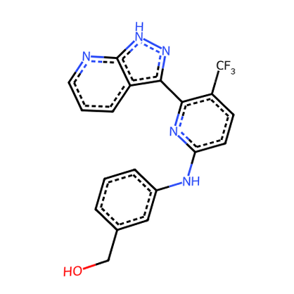 OCc1cccc(Nc2ccc(C(F)(F)F)c(-c3n[nH]c4ncccc34)n2)c1